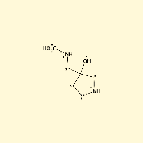 O=C(O)NCC1(O)CCNC1